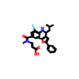 Cc1oc(-c2ccccc2)cc1C(CC(C)C)Nc1ccc(C(=O)N(C)CCC(=O)O)cc1F